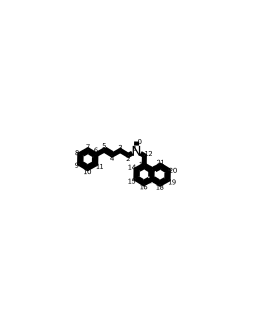 CN(CC/C=C/c1ccccc1)Cc1cccc2ccccc12